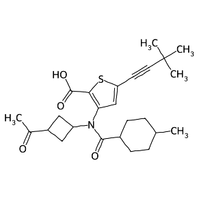 CC(=O)C1CC(N(C(=O)C2CCC(C)CC2)c2cc(C#CC(C)(C)C)sc2C(=O)O)C1